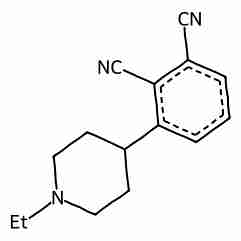 CCN1CCC(c2cccc(C#N)c2C#N)CC1